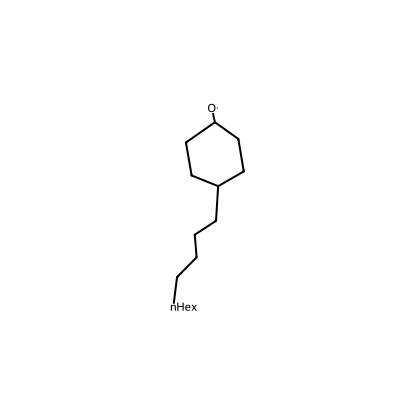 CCCCCCCCCCC1CCC([O])CC1